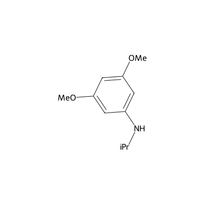 COc1cc(NC(C)C)cc(OC)c1